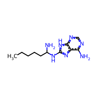 CCCCCC(N)Nc1nc2c(N)ncnc2[nH]1